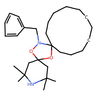 CC1(C)CC2(CC(C)(C)N1)ON(Cc1ccccc1)C1(CCCCCCCCCCC1)O2